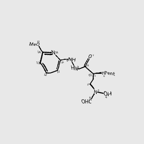 CCCCC[C@@H](CN(O)C=O)C(=O)NNc1cccc(OC)n1